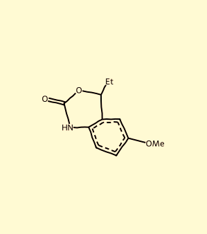 CCC1OC(=O)Nc2ccc(OC)cc21